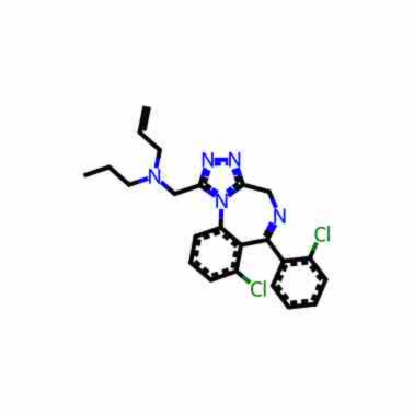 C=CCN(CCC)Cc1nnc2n1-c1cccc(Cl)c1C(c1ccccc1Cl)=NC2